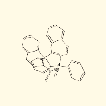 NC(=O)c1ccc2ccccc2c1-c1c(P(=O)(c2ccccc2)c2ccccc2)ccc2ccccc12